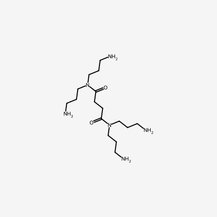 NCCCN(CCCN)C(=O)CCC(=O)N(CCCN)CCCN